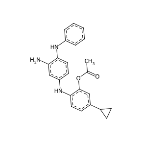 CC(=O)Oc1cc(C2CC2)ccc1Nc1ccc(Nc2ccccc2)c(N)c1